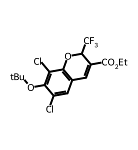 CCOC(=O)C1=Cc2cc(Cl)c(OC(C)(C)C)c(Cl)c2OC1C(F)(F)F